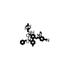 CCn1nc(Cc2ccc(C(=O)NCc3cnc(C)cn3)cc2-c2ccc(C)cc2C(=O)OCc2ccccc2)c2ccc(C#N)cc21